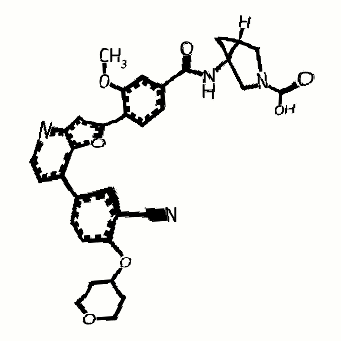 COc1cc(C(=O)N[C@@]23C[C@@H]2CN(C(=O)O)C3)ccc1-c1cc2nccc(-c3ccc(OC4CCOCC4)c(C#N)c3)c2o1